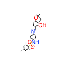 Cc1cc(C)c(S(=O)(=O)Nc2ccc(N=Cc3ccc4c(c3O)C=CC(C)(C)O4)cc2)c(C)c1